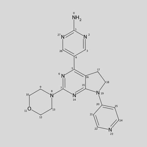 Nc1ncc(-c2nc(N3CCOCC3)nc3c2CCN3c2ccncc2)cn1